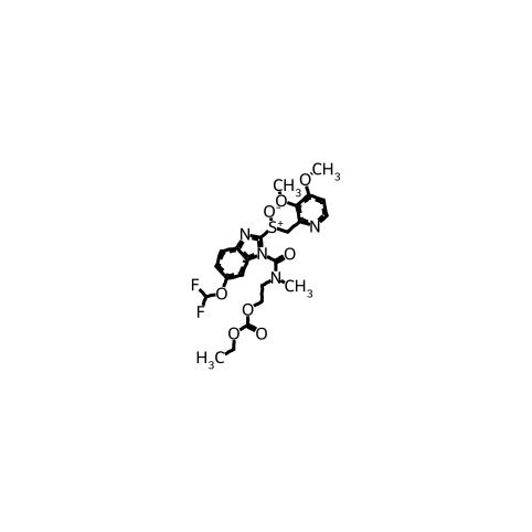 CCOC(=O)OCCN(C)C(=O)n1c([S+]([O-])Cc2nccc(OC)c2OC)nc2ccc(OC(F)F)cc21